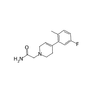 Cc1ccc(F)cc1C1=CCN(CC(N)=O)CC1